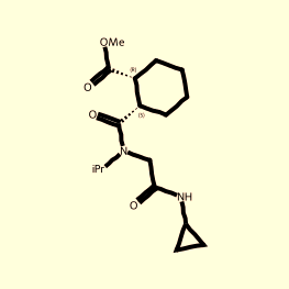 COC(=O)[C@@H]1CCCC[C@@H]1C(=O)N(CC(=O)NC1CC1)C(C)C